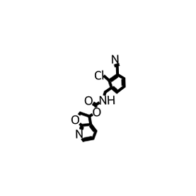 N#Cc1cccc(CNC(=O)OC2COc3ncccc32)c1Cl